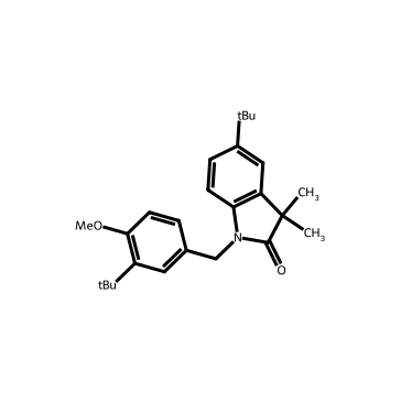 COc1ccc(CN2C(=O)C(C)(C)c3cc(C(C)(C)C)ccc32)cc1C(C)(C)C